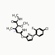 CNC(=O)C(OC)/C(C)=C\C(=N)Oc1ccn(-c2ccc(Cl)cc2F)n1